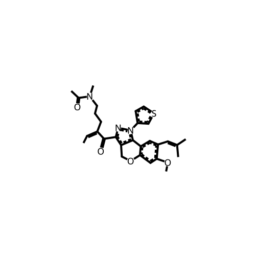 C/C=C(/CCCN(C)C(C)=O)C(=O)c1nn(-c2ccsc2)c2c1COc1cc(OC)c(C=C(C)C)cc1-2